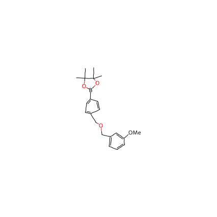 COc1cccc(COCc2ccc(B3OC(C)(C)C(C)(C)O3)cc2)c1